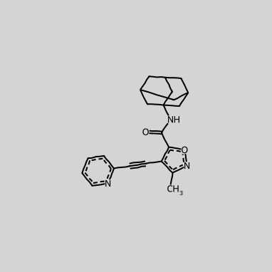 Cc1noc(C(=O)NC23CC4CC(CC(C4)C2)C3)c1C#Cc1ccccn1